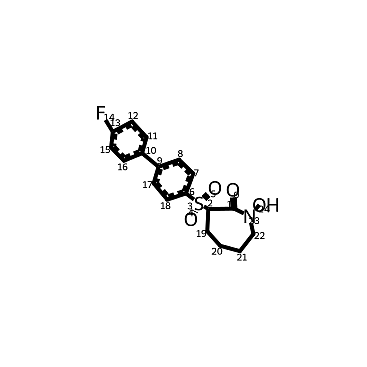 O=C1C(S(=O)(=O)c2ccc(-c3ccc(F)cc3)cc2)CCCCN1O